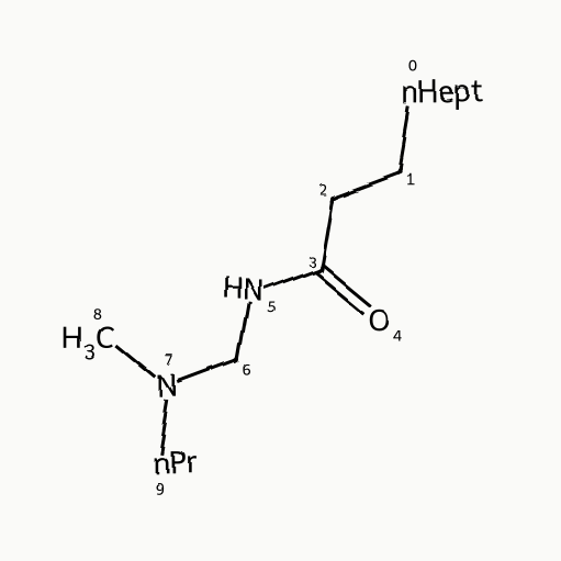 CCCCCCCCCC(=O)NCN(C)CCC